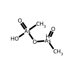 C[AsH](=O)O[As](C)(=O)O